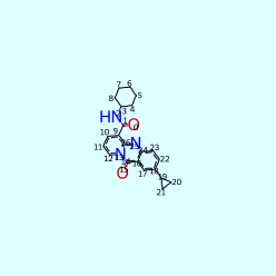 O=C(NC1CCCCC1)c1cccn2c(=O)c3cc(C4CC4)ccc3nc12